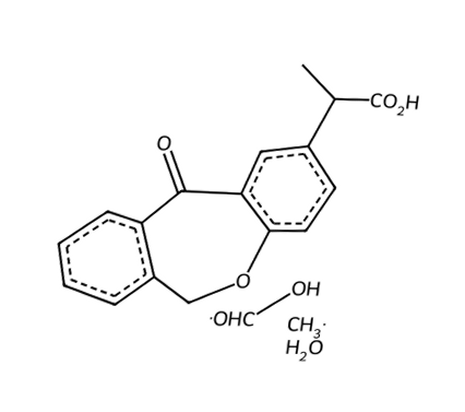 CC(C(=O)O)c1ccc2c(c1)C(=O)c1ccccc1CO2.O.O=[C]O.[CH3]